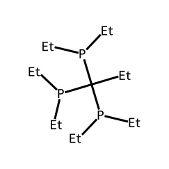 CCP(CC)C(CC)(P(CC)CC)P(CC)CC